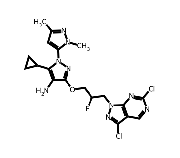 Cc1cc(-n2nc(OCC(F)Cn3nc(Cl)c4cnc(Cl)nc43)c(N)c2C2CC2)n(C)n1